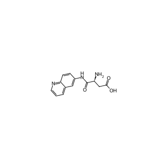 N[C@@H](CC(=O)O)C(=O)Nc1ccc2ncccc2c1